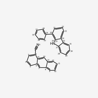 N#Cc1cccc2cc3ccccc3cc12.c1ccc(-c2cccc3c2[nH]c2ccccc23)cc1